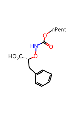 CCCCCOC(=O)NO[C@H](Cc1ccccc1)C(=O)O